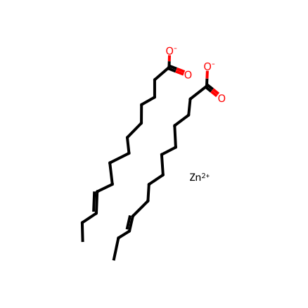 CCC=CCCCCCCCCC(=O)[O-].CCC=CCCCCCCCCC(=O)[O-].[Zn+2]